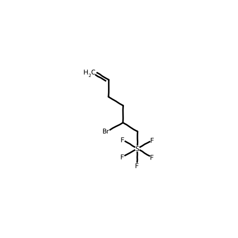 C=CCCC(Br)CS(F)(F)(F)(F)F